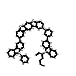 C=C/C(=C\C=C/C)n1c2ccccc2c2cc(-c3cccc(-c4ccc5oc6cc7oc8ccc(-c9ccc%10c(c9)c9ccccc9n%10-c9ccccc9)cc8c7cc6c5c4)c3)ccc21